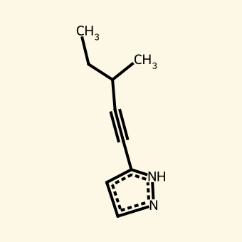 CCC(C)C#Cc1ccn[nH]1